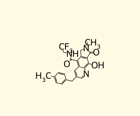 Cc1ccc(Cc2cnc3c(O)c4c(c(C(=O)NCC(F)(F)F)c3c2)CN(C)C4=O)cc1